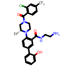 CC[C@@H]1CN(C(=O)c2ccc(C(F)(F)F)cc2Cl)CCN1c1ccc(-c2ccccc2O)cc1C(=O)NCCN